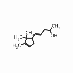 CC1=CCC(C=CCC(C)O)C1(C)C